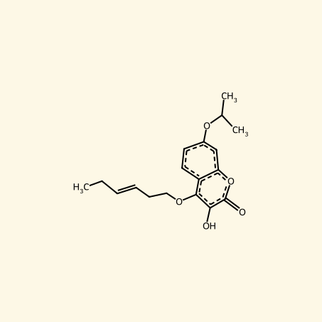 CC/C=C/CCOc1c(O)c(=O)oc2cc(OC(C)C)ccc12